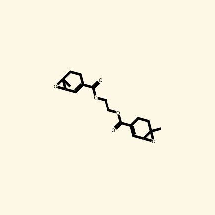 CC12CCC(C(=O)OCCOC(=O)C3=CC4OC4(C)CC3)=CC1O2